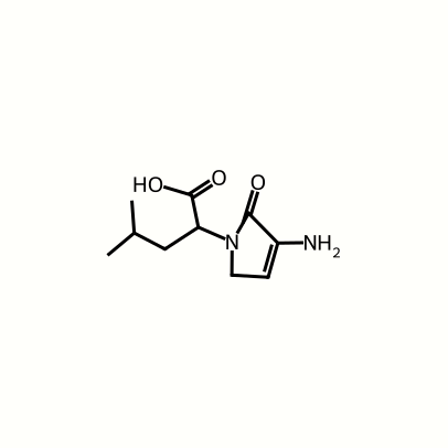 CC(C)CC(C(=O)O)N1CC=C(N)C1=O